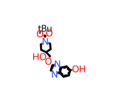 CC(C)(C)OC(=O)N1CCC(O)(COc2cnc3ccc(O)cc3n2)CC1